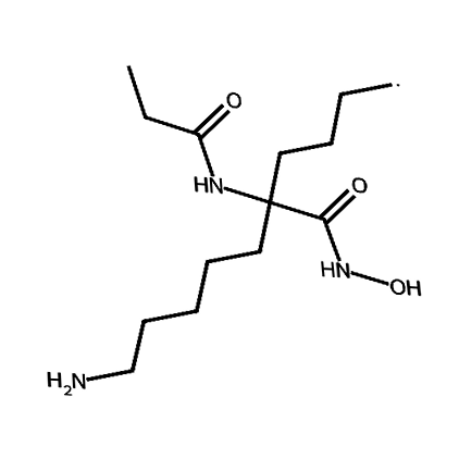 [CH2]CCCC(CCCCCN)(NC(=O)CC)C(=O)NO